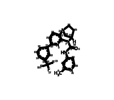 Cc1cc(NC(=O)N2c3nc(-c4cccc(C(F)(F)F)c4)ccc3N3CC[C@H]2C3)ccn1